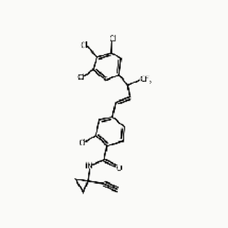 C#CC1(NC(=O)c2ccc(/C=C/C(c3cc(Cl)c(Cl)c(Cl)c3)C(F)(F)F)cc2Cl)CC1